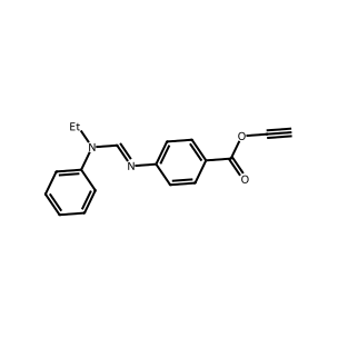 C#COC(=O)c1ccc(N=CN(CC)c2ccccc2)cc1